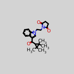 CC1(C)C(C(=O)c2cn(CCN3C(=O)CCC3=O)c3ccccc23)C1(C)C